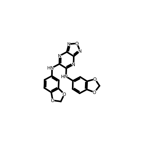 c1cc2c(cc1Nc1nc3nonc3nc1Nc1ccc3c(c1)OCO3)OCO2